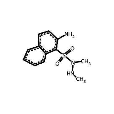 CNN(C)S(=O)(=O)c1c(N)ccc2ccccc12